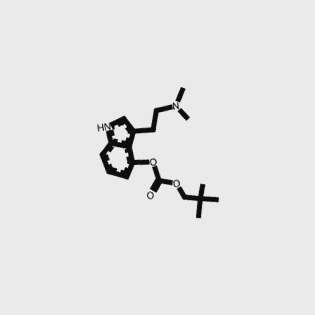 CN(C)CCc1c[nH]c2cccc(OC(=O)OCC(C)(C)C)c12